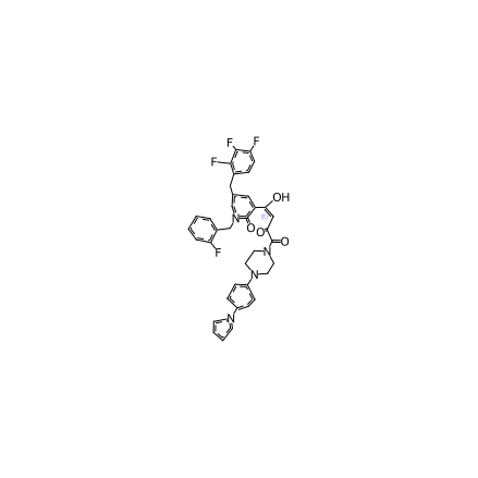 O=C(/C=C(/O)c1cc(Cc2ccc(F)c(F)c2F)cn(Cc2ccccc2F)c1=O)C(=O)N1CCN(c2ccc(-n3cccc3)cc2)CC1